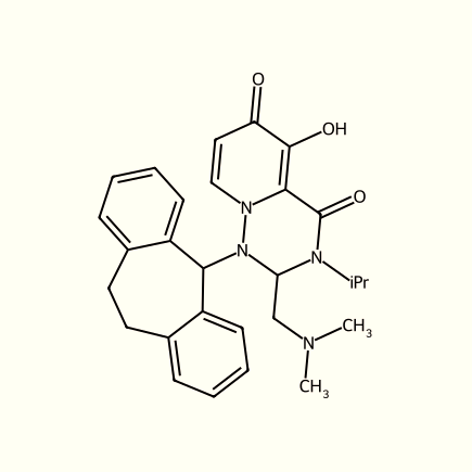 CC(C)N1C(=O)c2c(O)c(=O)ccn2N(C2c3ccccc3CCc3ccccc32)C1CN(C)C